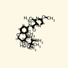 COc1cnc(C(=O)Nc2ccc3c(c2)[C@@]2(C)N=C(N)C(C)(C)S(O)(O)[C@@H]2CCO3)c(C)n1